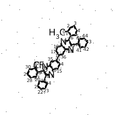 Cc1ccccc1-c1nc2ccc(-c3ccc4nc(-c5ccccc5)c(-c5ccccc5C(F)(F)F)nc4c3)cc2nc1-c1ccccc1